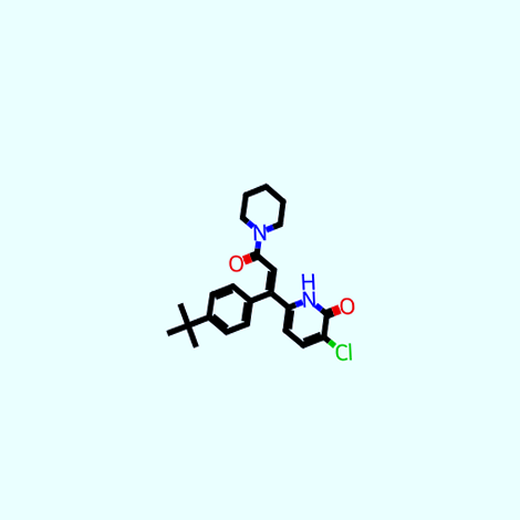 CC(C)(C)c1ccc(/C(=C\C(=O)N2CCCCC2)c2ccc(Cl)c(=O)[nH]2)cc1